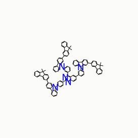 CC1(C)c2ccccc2-c2cc(-c3ccc4c5ccccc5n(-c5ccc(-c6nc(-c7cccc(-n8c9ccccc9c9ccc(-c%10ccc%11c(c%10)-c%10ccccc%10C%11(C)C)cc98)c7)c7cc(-c8cccc(-n9c%10ccccc%10c%10ccc(-c%11ccc%12c(c%11)-c%11ccccc%11C%12(C)C)cc%109)c8)ccc7n6)cc5)c4c3)ccc21